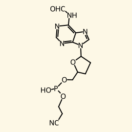 N#CCCOP(O)OCC1CCC(n2cnc3c(NC=O)ncnc32)O1